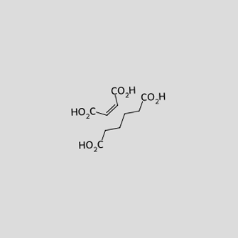 O=C(O)/C=C\C(=O)O.O=C(O)CCCCC(=O)O